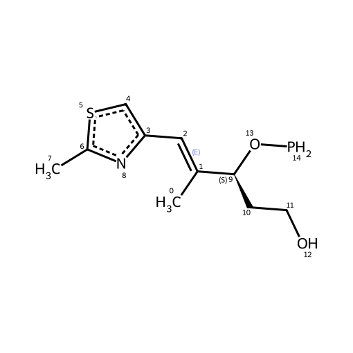 C/C(=C\c1csc(C)n1)[C@H](CCO)OP